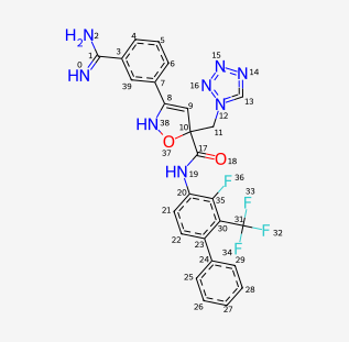 N=C(N)c1cccc(C2=CC(Cn3cnnn3)(C(=O)Nc3ccc(-c4ccccc4)c(C(F)(F)F)c3F)ON2)c1